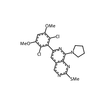 COc1cc(OC)c(Cl)c(-c2cc3cnc(SC)nc3c(N3CCCC3)n2)c1Cl